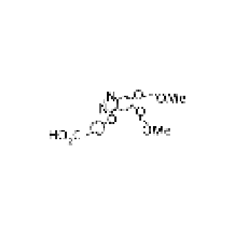 COCCOc1cc2ncnc(Oc3ccc(CC(=O)O)cc3)c2cc1OCCOC